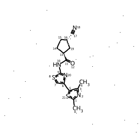 Cc1nc(C)c(-c2csc(NC(=O)[C@H]3CC[C@H](C#N)C3)n2)s1